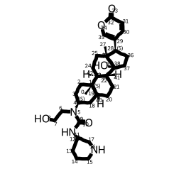 C[C@]12CC[C@H](N(CCO)C(=O)N[C@@H]3CCCNC3)C[C@H]1CC[C@@H]1[C@@H]2CC[C@]2(C)[C@@H](c3ccc(=O)oc3)CC[C@]12O